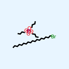 CCCCCCCCCCCCCCCCCCBr.CCCCOP(=O)(OCCCC)OCCCC